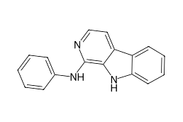 c1ccc(Nc2nccc3c2[nH]c2ccccc23)cc1